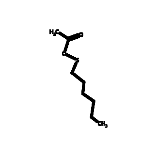 CCCCCCSOC(C)=O